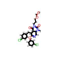 Cn1c(=O)n(CCCOC=O)c(=O)c2c(Cc3ccc(Cl)cc3)c(Oc3cccc(Cl)c3)ncc21